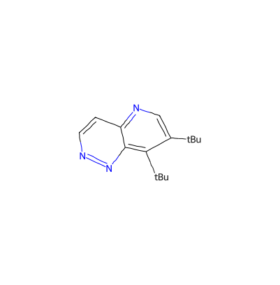 CC(C)(C)c1cnc2ccnnc2c1C(C)(C)C